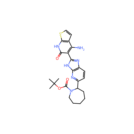 CC(C)(C)OC(=O)N1CCCCCC1c1ccc2nc(-c3c(N)c4ccsc4[nH]c3=O)[nH]c2n1